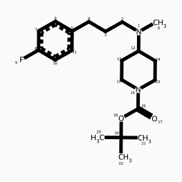 CN(CCCc1ccc(F)cc1)C1CCN(C(=O)OC(C)(C)C)CC1